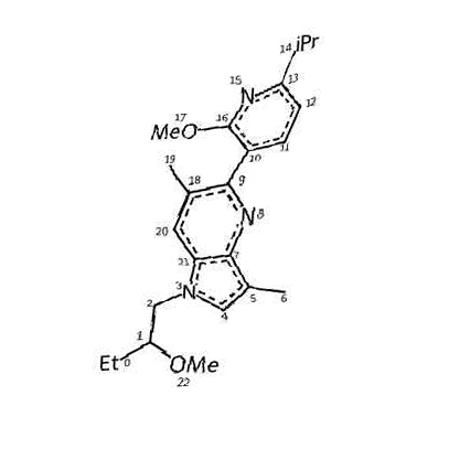 CCC(Cn1cc(C)c2nc(-c3ccc(C(C)C)nc3OC)c(C)cc21)OC